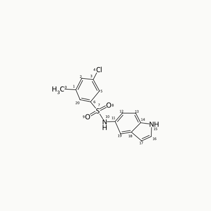 Cc1cc(Cl)cc(S(=O)(=O)Nc2ccc3[nH]ccc3c2)c1